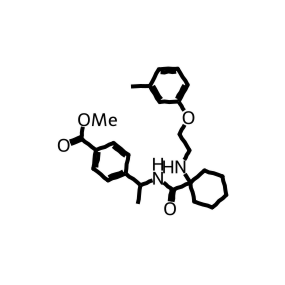 COC(=O)c1ccc(C(C)NC(=O)C2(NCCOc3cccc(C)c3)CCCCC2)cc1